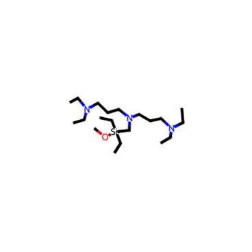 CCN(CC)CCCN(CCCN(CC)CC)C[Si](CC)(CC)OC